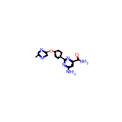 Cc1cnc(Oc2ccc(-c3nc(N)cc(C(N)=O)n3)cc2)cn1